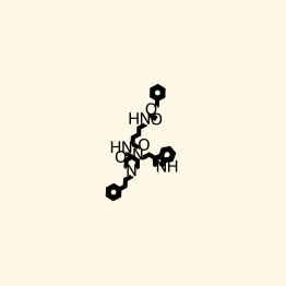 O=C(NCCCCC1NC(=O)C2(CCN(CCCc3ccccc3)CC2)N(CCc2c[nH]c3ccccc23)C1=O)OCc1ccccc1